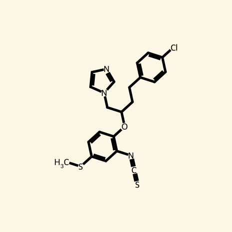 CSc1ccc(OC(CCc2ccc(Cl)cc2)Cn2ccnc2)c(N=C=S)c1